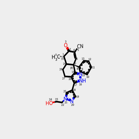 C[C@@H]1C(=O)C(C#N)=C[C@]2(c3ccccc3)c3n[nH]c(-c4cnn(CCO)c4)c3CCC12